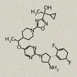 C[C@H](Oc1cnc(N2C[C@H](C3=CC(F)CC=C3F)[C@@H](N)C2)nc1)C1CCN(c2nc([C@](C)(O)C3CC3)no2)CC1